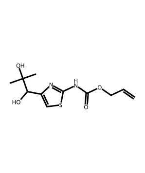 C=CCOC(=O)Nc1nc(C(O)C(C)(C)O)cs1